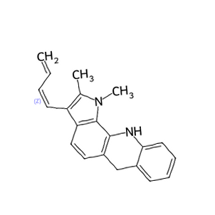 C=C/C=C\c1c(C)n(C)c2c3c(ccc12)Cc1ccccc1N3